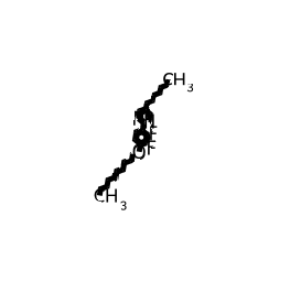 CCCCCCCCCCOc1ccc(-c2ncc(CCCCCCC)cn2)c(F)c1F